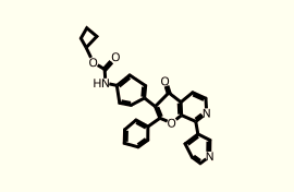 O=C(Nc1ccc(-c2c(-c3ccccc3)oc3c(-c4cccnc4)nccc3c2=O)cc1)OC1CCC1